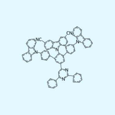 N#Cc1ccc2c(c1)c1cc(C#N)ccc1n2-c1c(-c2ccc(-n3c4ccccc4c4ccccc43)cc2)cc(-c2cc(-c3ccccc3)nc(-c3ccccc3)n2)cc1-c1ccc(-n2c3ccccc3c3ccccc32)cc1